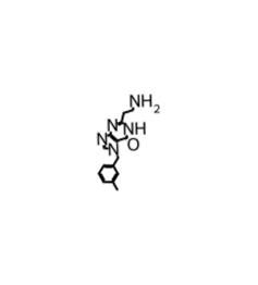 Cc1cccc(Cn2cnc3nc(CCN)[nH]c(=O)c32)c1